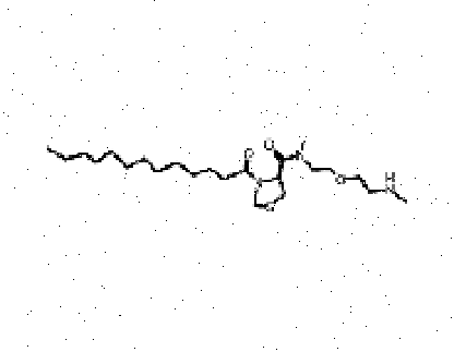 CCCCCCCCCCCCC(=O)N1CSCC1C(=O)N(C)CCOCCNC